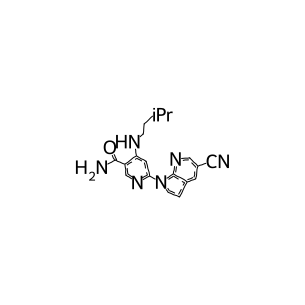 CC(C)CCNc1cc(-n2ccc3cc(C#N)cnc32)ncc1C(N)=O